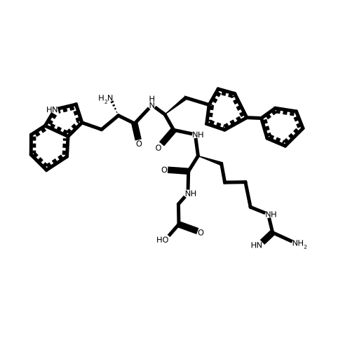 N=C(N)NCCCC[C@H](NC(=O)[C@H](Cc1ccc(-c2ccccc2)cc1)NC(=O)[C@@H](N)Cc1c[nH]c2ccccc12)C(=O)NCC(=O)O